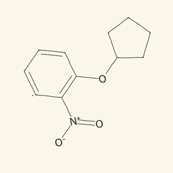 O=[N+]([O-])c1[c]cccc1OC1CCCC1